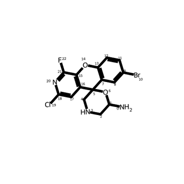 NC1CNCC2(O1)c1cc(Br)ccc1Oc1c2cc(Cl)nc1F